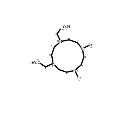 CCN1CCN(CC)CCN(CC(=O)O)CCN(CC(=O)O)CC1